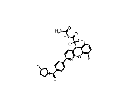 CC(C)(C(=O)NC(N)=O)[C@@H]1c2ccc(-c3ccc(C(=O)N4CC[C@@H](F)C4)cc3)nc2Oc2c(F)cccc21